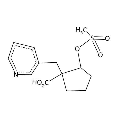 CS(=O)(=O)OC1CCCC1(Cc1cccnc1)C(=O)O